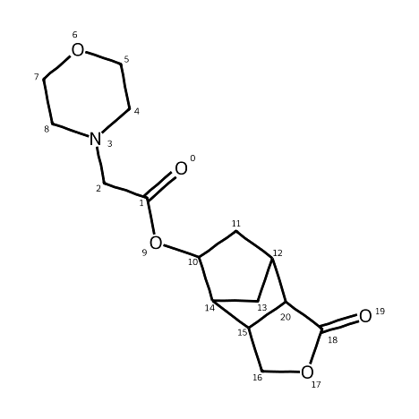 O=C(CN1CCOCC1)OC1CC2CC1C1COC(=O)C21